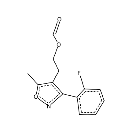 Cc1onc(-c2ccccc2F)c1CCOC=O